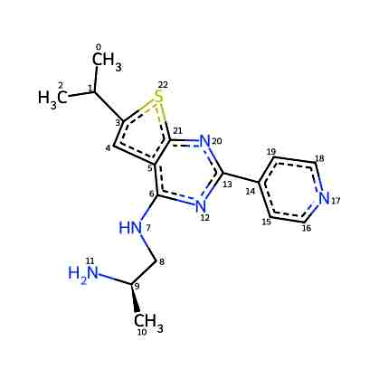 CC(C)c1cc2c(NC[C@@H](C)N)nc(-c3ccncc3)nc2s1